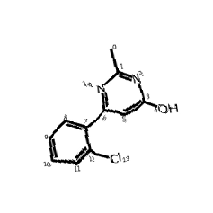 Cc1nc(O)cc(-c2ccccc2Cl)n1